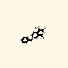 N#Cc1c(Cl)nc(Cl)c2c1CCN(Cc1ccccc1)C2